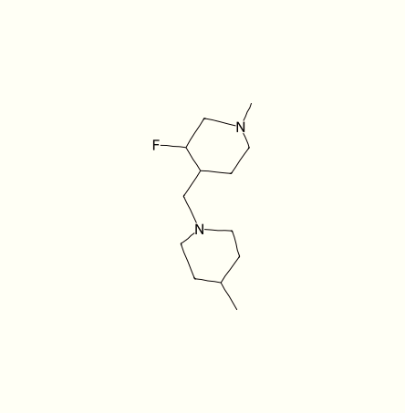 CC1CCN(CC2CCN(C)CC2F)CC1